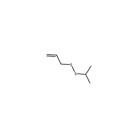 C=CCSSC(C)C